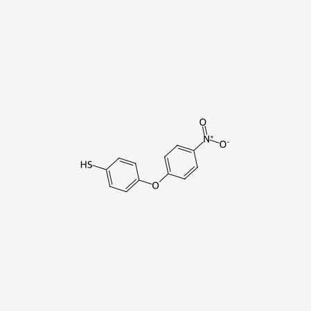 O=[N+]([O-])c1ccc(Oc2ccc(S)cc2)cc1